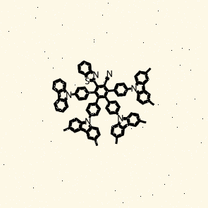 Cc1ccc2c(c1)c1cc(C)ccc1n2-c1ccc(-c2c(C#N)c(-c3nc4ccccc4s3)c(-c3ccc(-n4c5ccccc5c5ccccc54)cc3)c(-c3ccc(-n4c5ccc(C)cc5c5cc(C)ccc54)cc3)c2-c2ccc(-n3c4ccc(C)cc4c4cc(C)ccc43)cc2)cc1